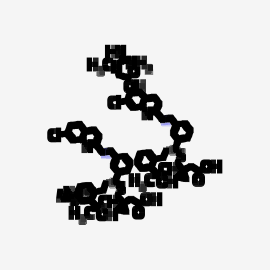 CC(C)(O)c1ccccc1CC[C@@H](SCC1(CC(=O)O)CC1)c1cccc(/C=C/c2ccc3ccc(Cl)cc3n2)c1.CC(C)(O)c1ccccc1CC[C@@H](SCC1(CC(=O)O)CC1)c1cccc(/C=C/c2ccc3ccc(Cl)cc3n2)c1.CN(CC(=O)O)C(=N)N.[Mg+2].[Na+]